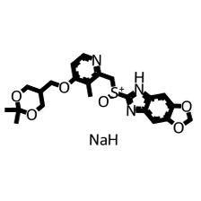 Cc1c(OCC2COC(C)(C)OC2)ccnc1C[S+]([O-])c1nc2cc3c(cc2[nH]1)OCO3.[NaH]